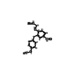 CCCOc1ccc(Cc2cc(C=O)ccc2OCOC)cc1